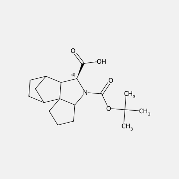 CC(C)(C)OC(=O)N1C2CCCC23C2CCC(C2)C3[C@H]1C(=O)O